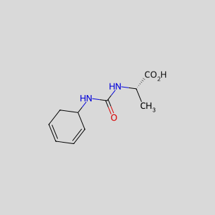 C[C@H](NC(=O)NC1C=CC=CC1)C(=O)O